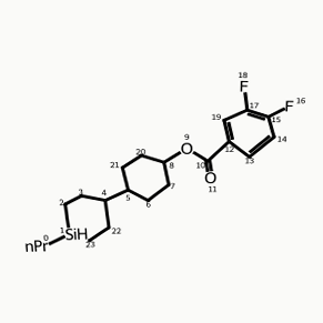 CCC[SiH]1CCC(C2CCC(OC(=O)c3ccc(F)c(F)c3)CC2)CC1